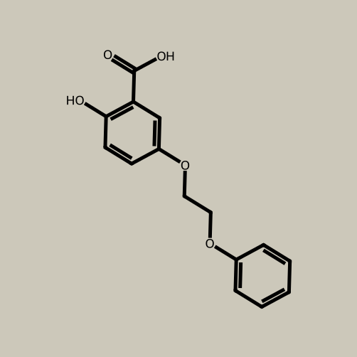 O=C(O)c1cc(OCCOc2ccccc2)ccc1O